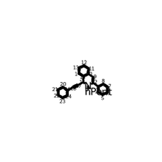 CCCCCN1C(c2ccccc2)=Cc2ccccc2C1C#Cc1ccccc1